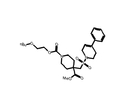 CCCCOCCOC(=O)N1CCC(CS(=O)(=O)N2CC=C(c3ccccc3)CC2)(C(=O)OC)CC1